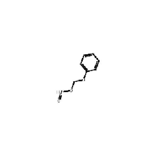 O=[PH2]OCOc1ccccc1